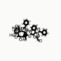 CC(=O)O[C@H]1C(=O)[C@@]2(C)[C@H]([C@H](OC(=O)c3ccccc3)[C@]3(O)C[C@H](OC(=O)[C@H](OC(=O)CCl)[C@@H](NC(=O)c4ccccc4)c4ccccc4)C(C)=C1C3(C)C)[C@]1(OC(C)=O)CO[C@@H]1C[C@@H]2O